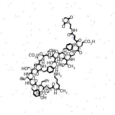 CC[C@H](C)[C@H](NC(=O)[C@H](CO)NC(=O)[C@H](Cc1ccc(O)cc1)NC(=O)[C@H](CC(=O)O)NC(=O)[C@H](CO)NC(=O)[C@@H](NC(=O)[C@H](Cc1ccccc1)NC(=O)[C@@H](NC(=O)CNC(=O)[C@H](CCC(=O)O)NC(=O)/C=C/C(=O)NCCN1C(=O)CSC1=O)[C@@H](C)O)[C@@H](C)O)C(=O)N[C@@H](Cc1ccc(O)cc1)C(=O)N[C@@H](CC(C)C)C(=O)N[C@@H](CC(=O)O)C(=O)N[C@H](C)CCCCN